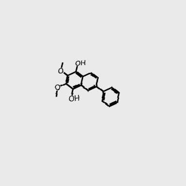 COc1c(OC)c(O)c2cc(-c3ccccc3)ccc2c1O